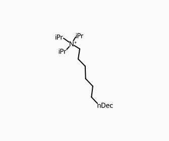 CCCCCCCCCCCCCCCC[N+](C(C)C)(C(C)C)C(C)C